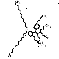 CC#CCCc1ccccc1C(=C(CCCC)C(=C=[N+]=[N-])CCCC)c1ccc(CCCC)cc1.CCCCCCCCCCCC[CH2][Ni][CH2]CCCCCCCCCCCC